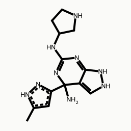 Cc1cc(C2(N)N=C(NC3CCNC3)N=C3NNC=C32)n[nH]1